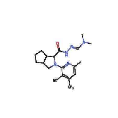 Cc1cc(C(F)(F)F)c(C#N)c(N2CC3CCCC3C2C(=O)NN=CN(C)C)n1